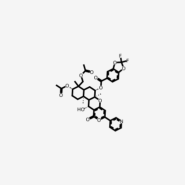 CC(=O)OCC1(C)C2C[C@H](OC(=O)c3ccc4c(c3)OC(F)(F)O4)[C@@]3(C)Oc4cc(-c5cccnc5)oc(=O)c4[C@H](O)C3[C@@]2(C)CC[C@@H]1OC(C)=O